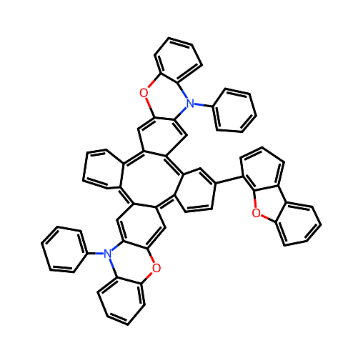 c1ccc(-n2c3ccccc3oc3cc4c5ccc(-c6cccc7c6oc6ccccc67)cc5c5cc6c(cc5c5ccccc5c4cc32)oc2ccccc2n6-c2ccccc2)cc1